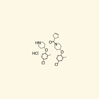 Cc1cc(Cl)ccc1OC1CCN(C(=O)C2CC=CC2)CC1.Cc1cc(Cl)ccc1OC1CCNCC1.Cl